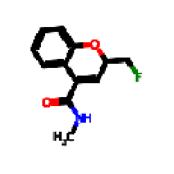 CNC(=O)C1=CC(CF)Oc2ccccc21